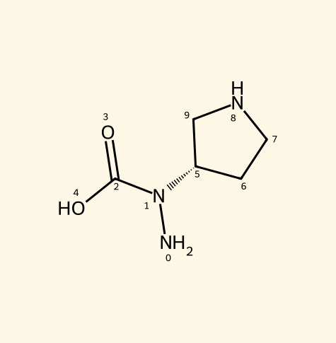 NN(C(=O)O)[C@H]1CCNC1